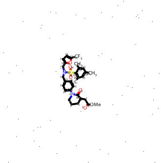 COC(=O)CC1CCCN(c2ccc(CN(Cc3ccc(C(F)(F)F)o3)S(=O)(=O)c3c(C)cc(C)cc3C)cc2)C1=O